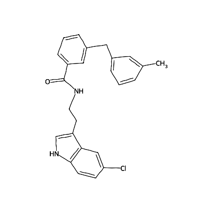 Cc1cccc(Cc2cccc(C(=O)NCCc3c[nH]c4ccc(Cl)cc34)c2)c1